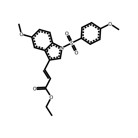 CCOC(=O)C=Cc1cn(S(=O)(=O)c2ccc(OC)cc2)c2ccc(OC)cc12